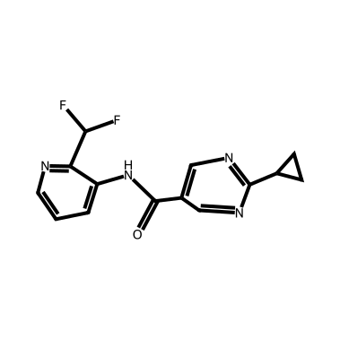 O=C(Nc1cccnc1C(F)F)c1cnc(C2CC2)nc1